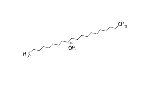 CCCCCCCCCCC[C@H](O)CCCCCCCC